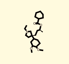 CCN1CC[C@@](CC[C@H](C)OC(=O)C2CCCCC2)(C2CCC(OC)C(OC)C2)C1